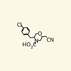 N#CCC1CN(C(=O)O)C(Cc2ccc(Cl)cc2)CO1